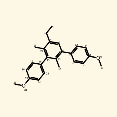 CCc1[c]c(-c2ccc(OC)cc2)c(C)c(-c2ccc(OC)cc2)c1C